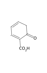 O=C(O)C1=[C]C=CCC1=O